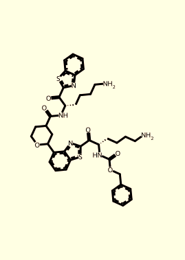 NCCCC[C@H](NC(=O)C1CCOC(c2cccc3sc(C(=O)[C@H](CCCCN)NC(=O)OCc4ccccc4)nc23)C1)C(=O)c1nc2ccccc2s1